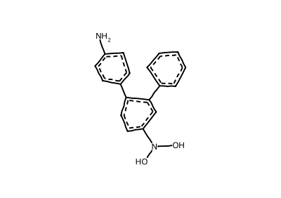 Nc1ccc(-c2ccc(N(O)O)cc2-c2ccccc2)cc1